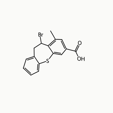 Cc1cc(C(=O)O)cc2c1C(Br)Cc1ccccc1S2